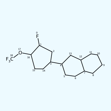 FC1CC(C2CCC3CCCCC3C2)CCC1OC(F)(F)F